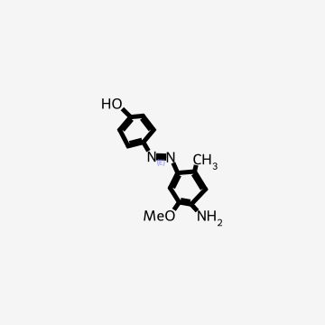 COc1cc(/N=N/c2ccc(O)cc2)c(C)cc1N